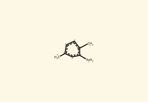 Cc1ccc(C)c([AsH2])c1